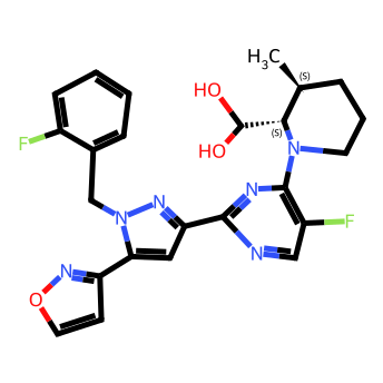 C[C@H]1CCCN(c2nc(-c3cc(-c4ccon4)n(Cc4ccccc4F)n3)ncc2F)[C@@H]1C(O)O